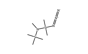 CN([Si](C)(C)C)[Si](C)(C)N=[N+]=[N-]